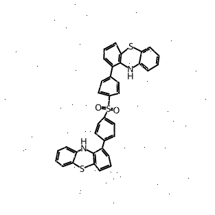 O=S(=O)(c1ccc(-c2cccc3c2Nc2ccccc2S3)cc1)c1ccc(-c2cccc3c2Nc2ccccc2S3)cc1